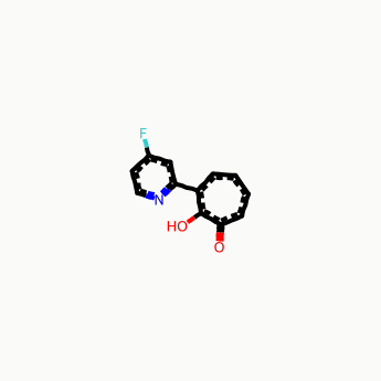 O=c1ccccc(-c2cc(F)ccn2)c1O